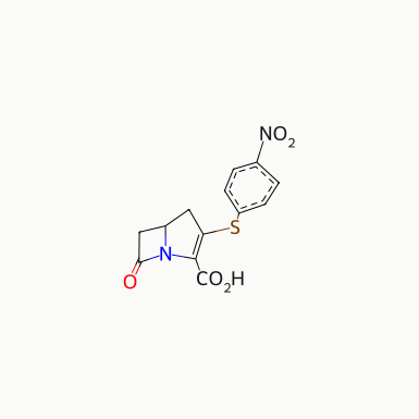 O=C(O)C1=C(Sc2ccc([N+](=O)[O-])cc2)CC2CC(=O)N12